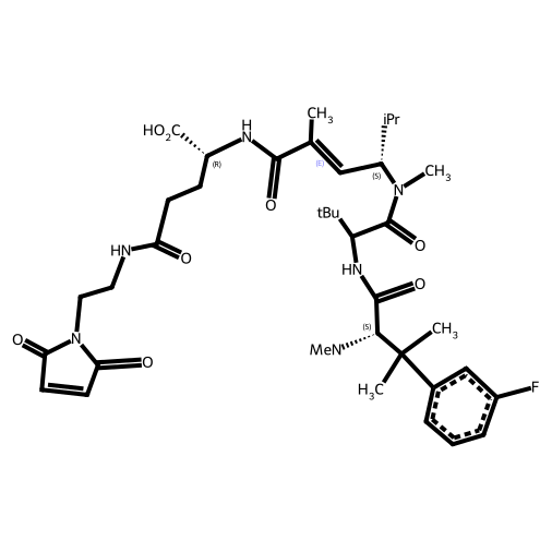 CN[C@H](C(=O)NC(C(=O)N(C)[C@H](/C=C(\C)C(=O)N[C@H](CCC(=O)NCCN1C(=O)C=CC1=O)C(=O)O)C(C)C)C(C)(C)C)C(C)(C)c1cccc(F)c1